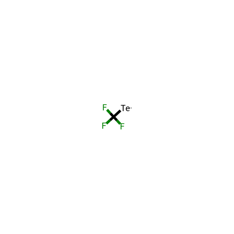 FC(F)(F)[Te]